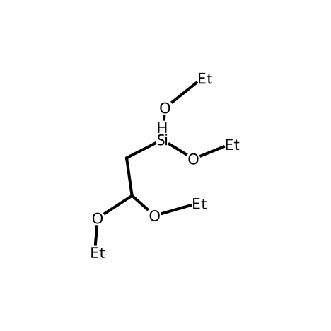 CCOC(C[SiH](OCC)OCC)OCC